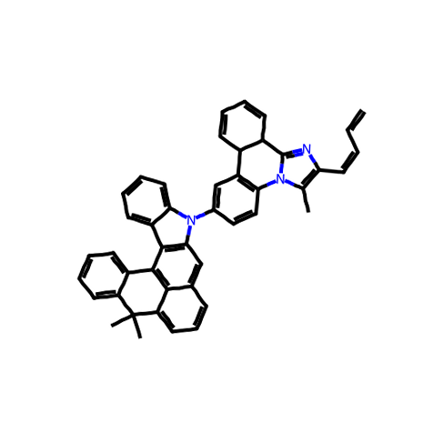 C=C/C=C\c1nc2n(c1C)-c1ccc(-n3c4ccccc4c4c5c6c(cccc6cc43)C(C)(C)c3ccccc3-5)cc1C1C=CC=CC21